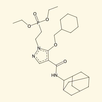 CCOP(=O)(CCn1ncc(C(=O)NC2C3CC4CC(C3)CC2C4)c1OCC1CCCCC1)OCC